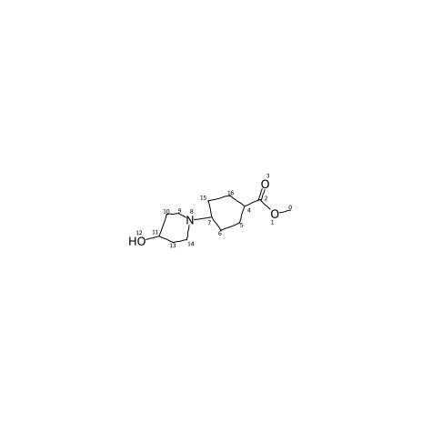 COC(=O)C1CCC(N2CCC(O)CC2)CC1